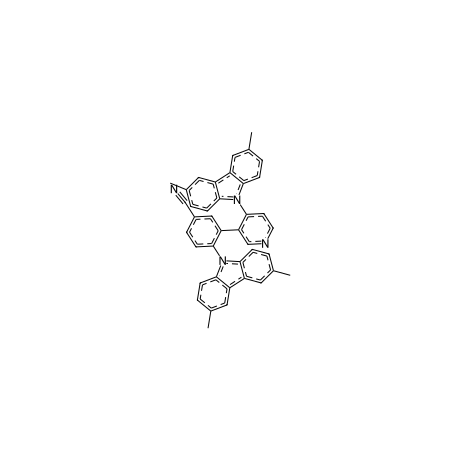 Cc1ccc2c(c1)c1cc(C)ccc1n2-c1ccncc1-c1cc(C#N)ccc1-n1c2ccc(C)cc2c2cc(C)ccc21